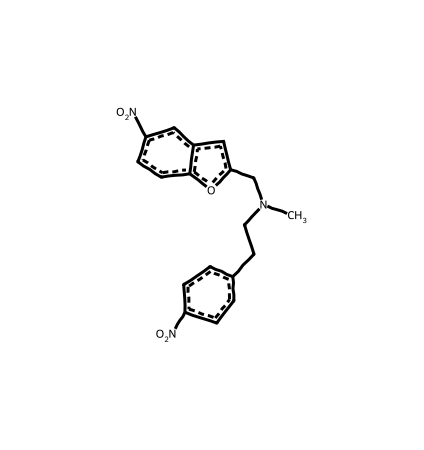 CN(CCc1ccc([N+](=O)[O-])cc1)Cc1cc2cc([N+](=O)[O-])ccc2o1